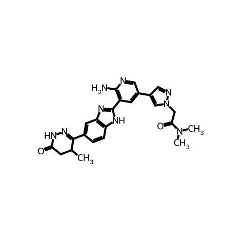 CC1CC(=O)NN=C1c1ccc2[nH]c(-c3cc(-c4cnn(CC(=O)N(C)C)c4)cnc3N)nc2c1